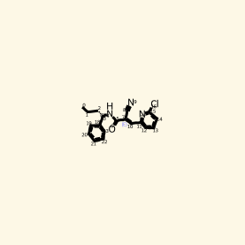 CCC[C@H](NC(=O)/C(C#N)=C/c1cccc(Cl)n1)c1ccccc1